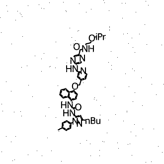 CCCCc1cc(NC(=O)Nc2ccc(OCc3ccnc(Nc4cnc(C(=O)NCCOC(C)C)cn4)c3)c3ccccc23)n(-c2ccc(C)cc2)n1